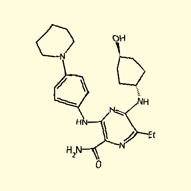 CCc1nc(C(N)=O)c(Nc2ccc(N3CCCCC3)cc2)nc1N[C@H]1CC[C@H](O)CC1